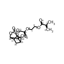 C=C(C)C(=O)OCCOC(=O)COC1(C)C2CC3C1OS(=O)(=O)C3C2